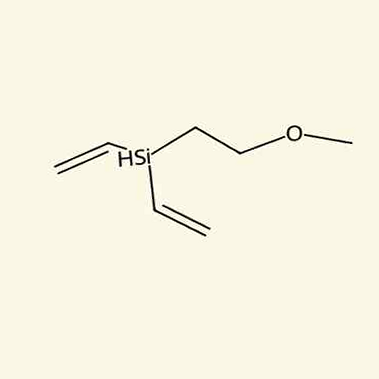 C=C[SiH](C=C)CCOC